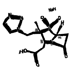 C[C@]1(Cn2ccnn2)[C@H](C(=O)O)N2C(=O)C[C@H]2S1(=O)=O.[NaH]